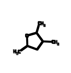 CC1CC(C)C(C)O1